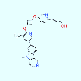 Cn1c2ccncc2c2ccc(-c3cnc(O[C@H]4C[C@H](Oc5ccc(C#CCO)nc5)C4)c(C(F)(F)F)c3)cc21